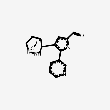 O=Cc1cc(C2CNN3CCC2CC3)c(-c2cccnc2)s1